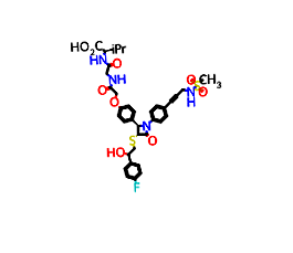 CC(C)[C@@H](NC(=O)CNC(=O)COc1ccc([C@@H]2[C@@H](SC[C@H](O)c3ccc(F)cc3)C(=O)N2c2ccc(C#CCNS(C)(=O)=O)cc2)cc1)C(=O)O